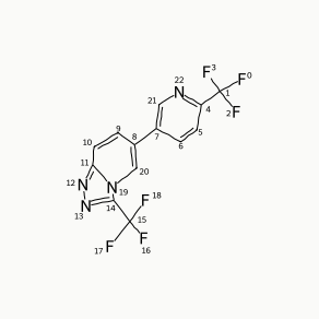 FC(F)(F)c1ccc(-c2ccc3nnc(C(F)(F)F)n3c2)cn1